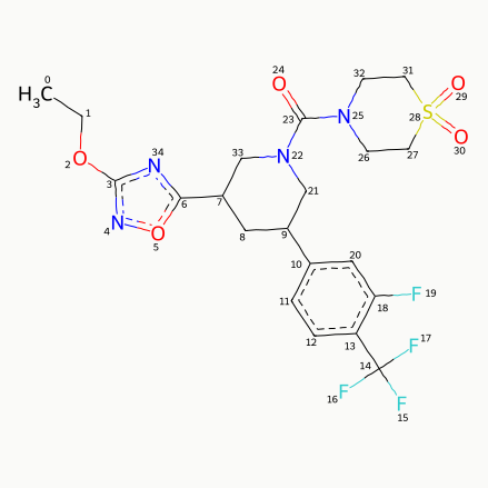 CCOc1noc(C2CC(c3ccc(C(F)(F)F)c(F)c3)CN(C(=O)N3CCS(=O)(=O)CC3)C2)n1